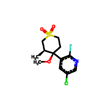 CO[C@]1(c2cc(Cl)cnc2F)CCS(=O)(=O)C[C@@H]1C